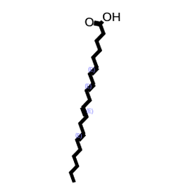 CCCCC/C=C/C/C=C/C/C=C/C=C/CCCCC(=O)O